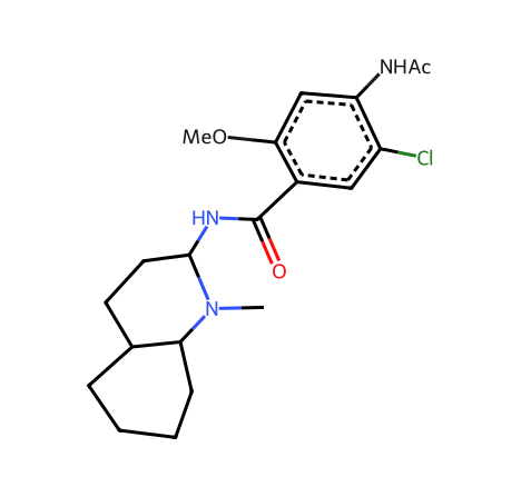 COc1cc(NC(C)=O)c(Cl)cc1C(=O)NC1CCC2CCCCC2N1C